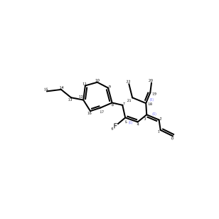 C=C/C=C(\C=C(\F)CC1=CCC=C(CCC)C=C1)C(=C/C)/CC